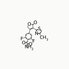 Cc1csc(C2=C(c3cc(F)c(S(N)(=O)=O)c(F)c3)COC2=O)n1